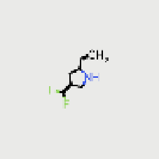 C=CC1CC(=C(F)F)CN1